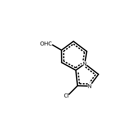 O=Cc1ccn2cnc(Cl)c2c1